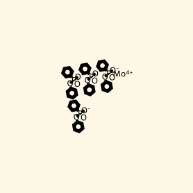 O=P([O-])(Oc1ccccc1)c1ccccc1.O=P([O-])(Oc1ccccc1)c1ccccc1.O=P([O-])(Oc1ccccc1)c1ccccc1.O=P([O-])(Oc1ccccc1)c1ccccc1.[Mo+4]